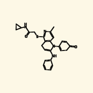 Cc1cc2c(c(SCC(=O)NC3CC3)n1)CC=C(Nc1ccccc1)N2C1=CCC(=O)C=C1